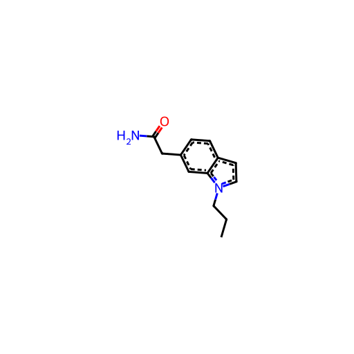 CCCn1ccc2ccc(CC(N)=O)cc21